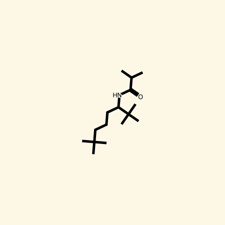 CC(C)C(=O)NC(CCCC(C)(C)C)C(C)(C)C